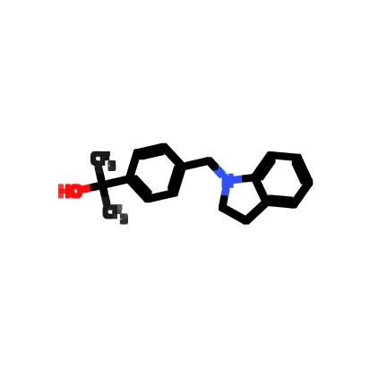 OC(c1ccc(CN2CCc3ccccc32)cc1)(C(F)(F)F)C(F)(F)F